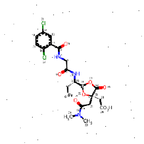 CC(C)C[C@H](NC(=O)CNC(=O)c1cc(Cl)ccc1Cl)B1OC(=O)[C@@](CC(=O)O)(CC(=O)N(C)C)O1